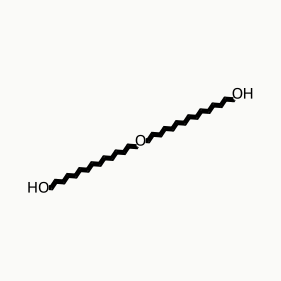 OCCCCCCCCCCCCCCCOCCCCCCCCCCCCCCCO